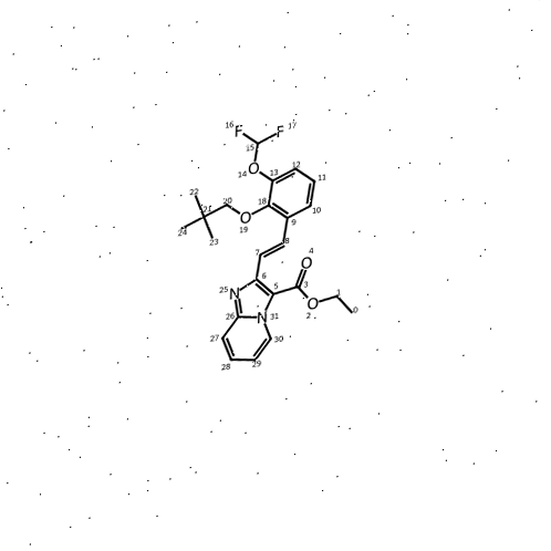 CCOC(=O)c1c(C=Cc2cccc(OC(F)F)c2OCC(C)(C)C)nc2ccccn12